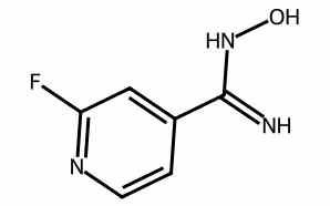 N=C(NO)c1ccnc(F)c1